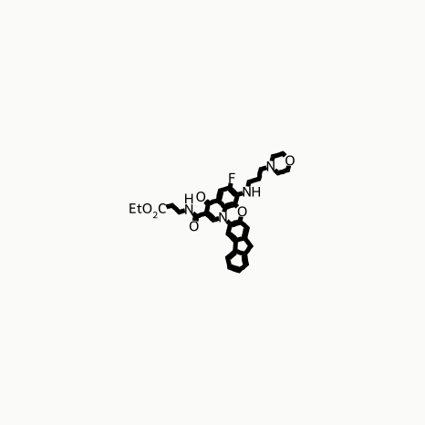 CCOC(=O)CCNC(=O)c1cn2c3c(c(NCCCN4CCOCC4)c(F)cc3c1=O)Oc1cc3c(cc1-2)-c1ccccc1C3